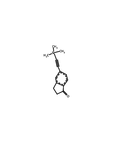 C[Si](C)(C)C#Cc1ccc2c(c1)CCC2=O